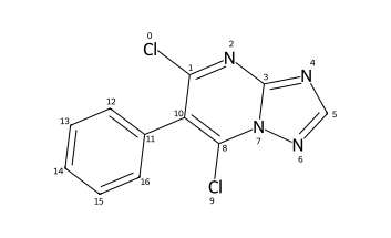 Clc1nc2ncnn2c(Cl)c1-c1ccccc1